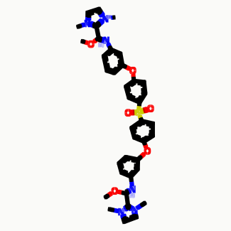 CO/C(=N\c1cccc(Oc2ccc(S(=O)(=O)c3ccc(Oc4cccc(/N=C(\OC)c5n(C)cc[n+]5C)c4)cc3)cc2)c1)c1n(C)cc[n+]1C